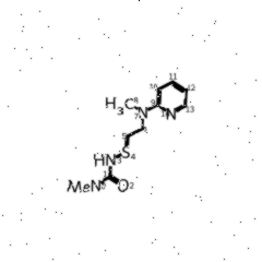 CNC(=O)NSCCN(C)c1ccccn1